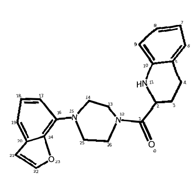 O=C(C1CCc2ccccc2N1)N1CCN(c2cccc3ccoc23)CC1